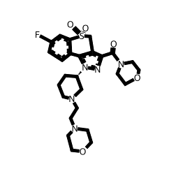 O=C(c1nn([C@H]2CCCN(CCN3CCOCC3)C2)c2c1CS(=O)(=O)c1cc(F)ccc1-2)N1CCOCC1